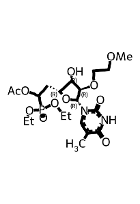 CCOP(=O)(OCC)C(C[C@H]1O[C@@H](n2cc(C)c(=O)[nH]c2=O)[C@H](OCCOC)[C@@H]1O)OC(C)=O